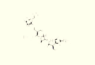 N#CCn1nnnc1SCC1=C(C(=O)O)N2C(=O)C(NC(=O)/C(=C/Cl)c3csc(N)n3)[C@H]2SC1